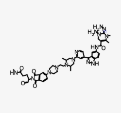 CNC(=O)CCC(C=O)N1C(=O)c2ccc(N3CCN(CCN4C(C)CN(c5cc(-c6n[nH]c7ccc(NC(=O)C8=C(C)N(C)/C(=N/N)N(N)C8)cc67)ccn5)CC4C)CC3)cc2C1=O